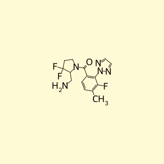 Cc1ccc(C(=O)N2CCC(F)(F)C2CN)c(-n2nccn2)c1F